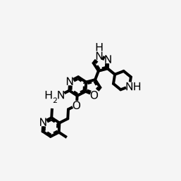 Cc1ccnc(C)c1CCOc1c(N)ncc2c(-c3c[nH]nc3C3CCNCC3)coc12